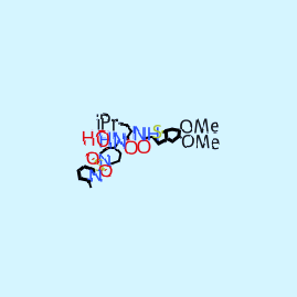 COc1cc2cc(C(=O)NC(CC(C)C)C(=O)NC3CCCN(S(=O)(=O)c4cccc(C)n4)CC3O)sc2cc1OC